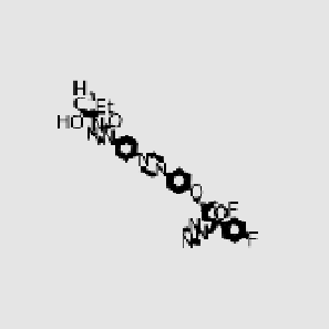 CC[C@@H]([C@H](C)O)n1ncn(-c2ccc(N3CCN(c4ccc(OC[C@@H]5COC(Cn6cncn6)(c6ccc(F)cc6F)C5)cc4)CC3)cc2)c1=O